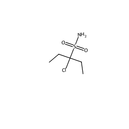 CCC(Cl)(CC)S(N)(=O)=O